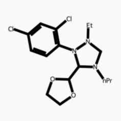 CCCN1CN(CC)N(c2ccc(Cl)cc2Cl)C1C1OCCO1